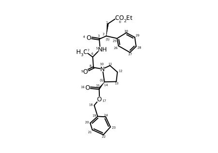 CCOC(=O)C[C@H](C(=O)NC(C)C(=O)N1CCC[C@H]1C(=O)OCc1ccccc1)c1ccccc1